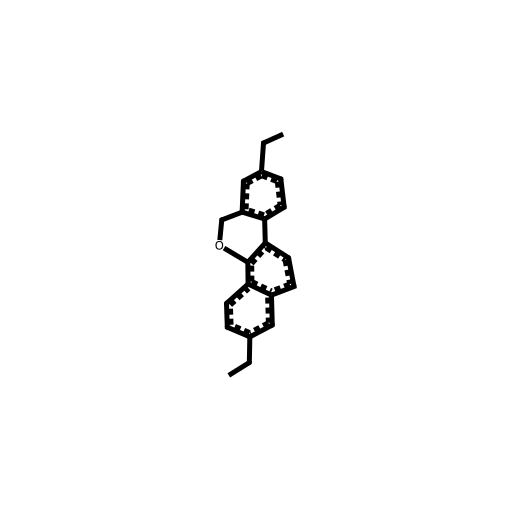 CCc1ccc2c(c1)COc1c-2ccc2cc(CC)ccc12